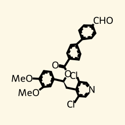 COc1ccc([C@H](Cc2c(Cl)cncc2Cl)OC(=O)c2ccc(-c3ccc(C=O)cc3)cc2)cc1OC